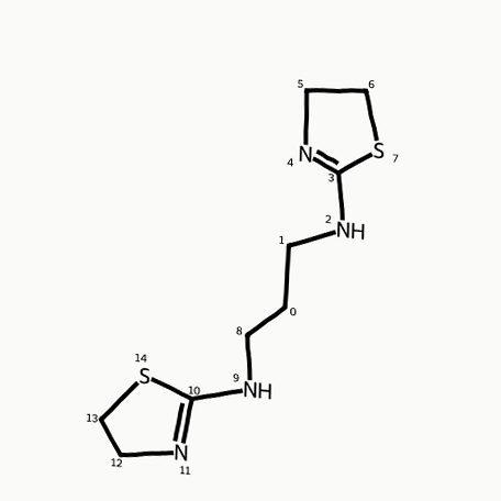 C(CNC1=NCCS1)CNC1=NCCS1